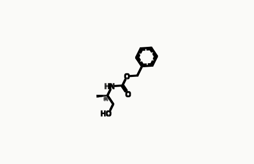 C[C@H](CO)NC(=O)OCc1ccccc1